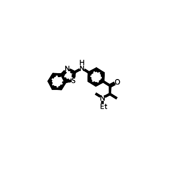 CCN(C)C(C)C(=O)c1ccc(Nc2nc3ccccc3s2)cc1